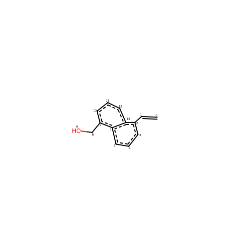 C=Cc1cccc2c(CO)cccc12